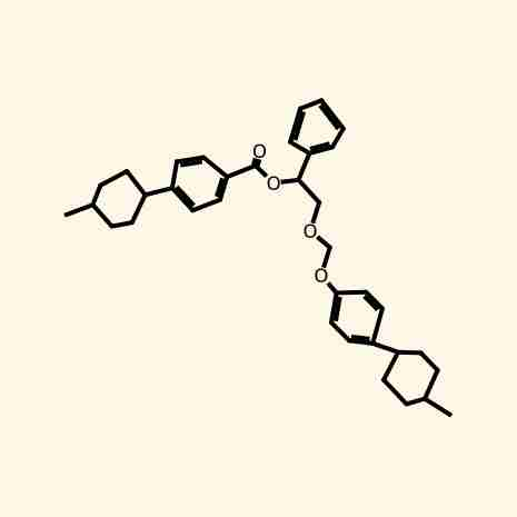 CC1CCC(c2ccc(OCOCC(OC(=O)c3ccc(C4CCC(C)CC4)cc3)c3ccccc3)cc2)CC1